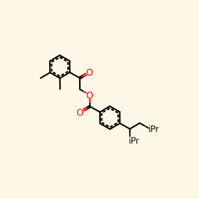 Cc1cccc(C(=O)COC(=O)c2ccc(C(CC(C)C)C(C)C)cc2)c1C